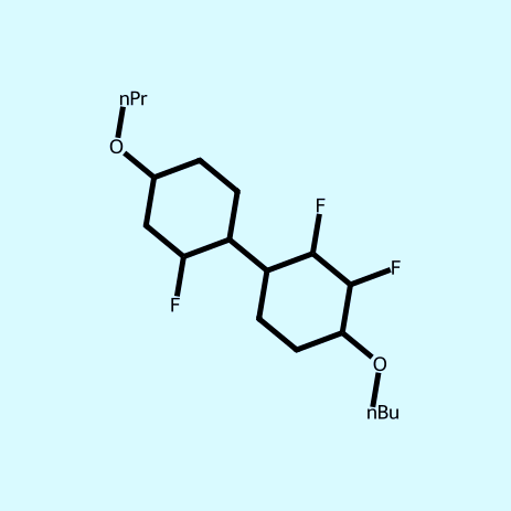 CCCCOC1CCC(C2CCC(OCCC)CC2F)C(F)C1F